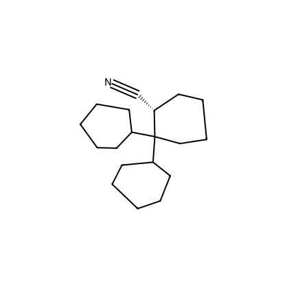 N#C[C@@H]1CCCCC1(C1CCCCC1)C1CCCCC1